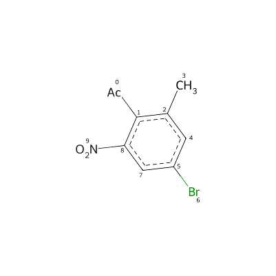 CC(=O)c1c(C)cc(Br)cc1[N+](=O)[O-]